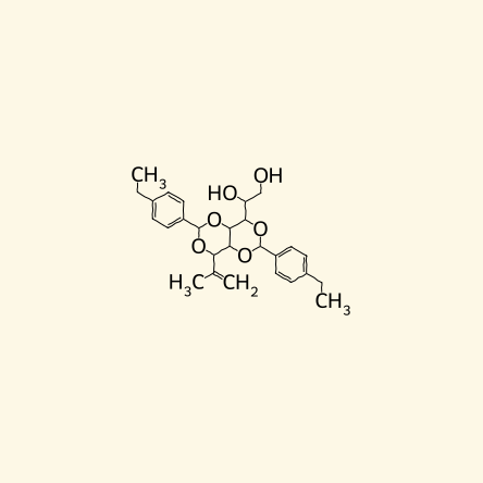 C=C(C)C1OC(c2ccc(CC)cc2)OC2C(C(O)CO)OC(c3ccc(CC)cc3)OC12